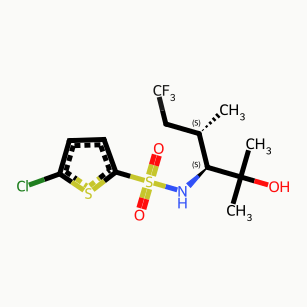 C[C@@H](CC(F)(F)F)[C@H](NS(=O)(=O)c1ccc(Cl)s1)C(C)(C)O